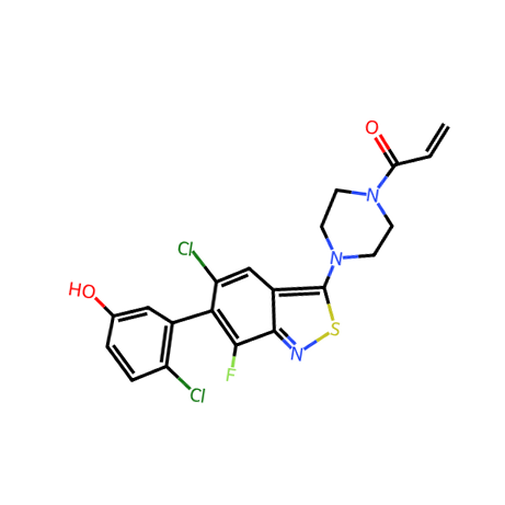 C=CC(=O)N1CCN(c2snc3c(F)c(-c4cc(O)ccc4Cl)c(Cl)cc23)CC1